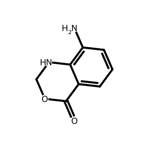 Nc1cccc2c1NCOC2=O